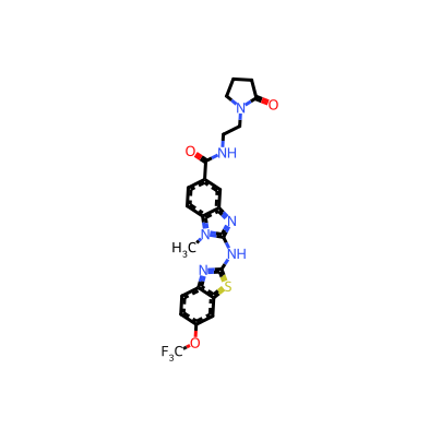 Cn1c(Nc2nc3ccc(OC(F)(F)F)cc3s2)nc2cc(C(=O)NCCN3CCCC3=O)ccc21